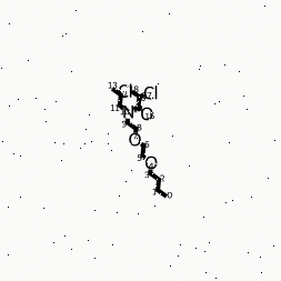 CCCCOCCOCCN(CCC)C(=O)C(Cl)Cl